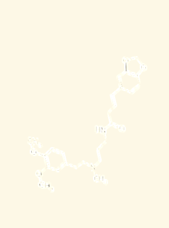 COc1ccc(CCN(C)CCCNC(=O)C/C=C/c2ccc3c(c2)OCO3)cc1OC